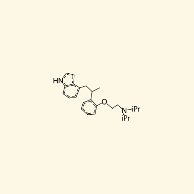 CC(Cc1cccc2[nH]ccc12)c1ccccc1OCCN(C(C)C)C(C)C